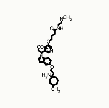 C=NCCNC(=O)CCCOc1cncc(C(CC(=O)OCC)n2ccc3cc(OCCC4(N)C=CC(=C)CCC4)ccc32)c1